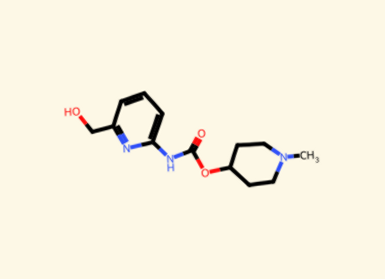 CN1CCC(OC(=O)Nc2cccc(CO)n2)CC1